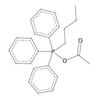 CCCCP(OC(C)=O)(c1ccccc1)(c1ccccc1)c1ccccc1